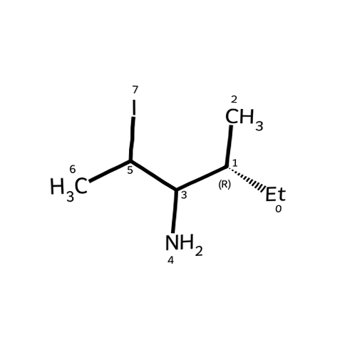 CC[C@@H](C)C(N)C(C)I